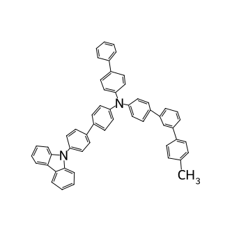 Cc1ccc(-c2cccc(-c3ccc(N(c4ccc(-c5ccccc5)cc4)c4ccc(-c5ccc(-n6c7ccccc7c7ccccc76)cc5)cc4)cc3)c2)cc1